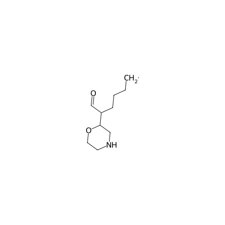 [CH2]CCCC(C=O)C1CNCCO1